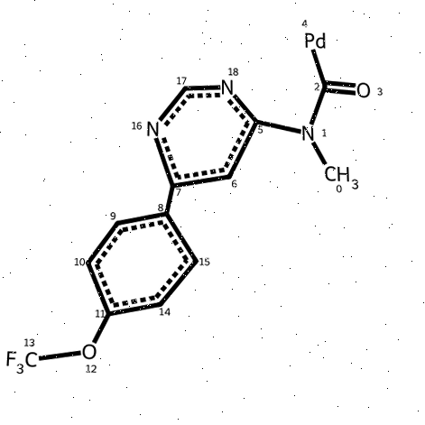 CN([C](=O)[Pd])c1cc(-c2ccc(OC(F)(F)F)cc2)ncn1